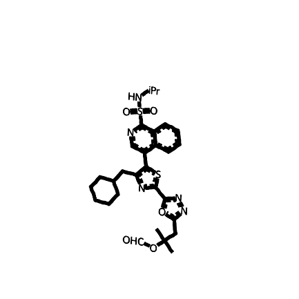 CC(C)NS(=O)(=O)c1ncc(-c2sc(-c3nnc(CC(C)(C)OC=O)o3)nc2CC2CCCCC2)c2ccccc12